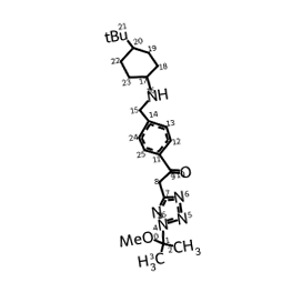 COC(C)(C)n1nnc(CC(=O)c2ccc(CNC3CCC(C(C)(C)C)CC3)cc2)n1